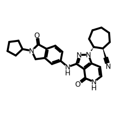 N#C[C@@H]1CCCCC[C@H]1n1nc(Nc2ccc3c(c2)CN(C2CCCC2)C3=O)c2c(=O)[nH]ccc21